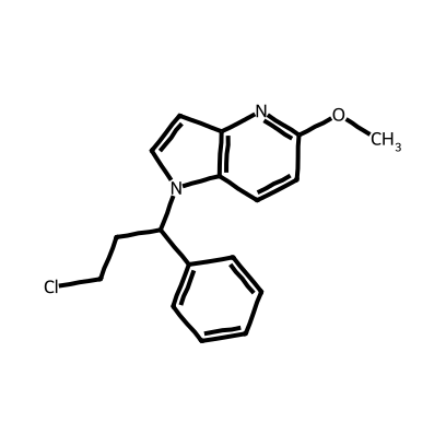 COc1ccc2c(ccn2C(CCCl)c2ccccc2)n1